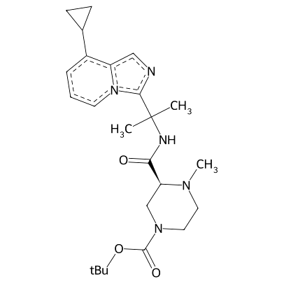 CN1CCN(C(=O)OC(C)(C)C)C[C@H]1C(=O)NC(C)(C)c1ncc2c(C3CC3)cccn12